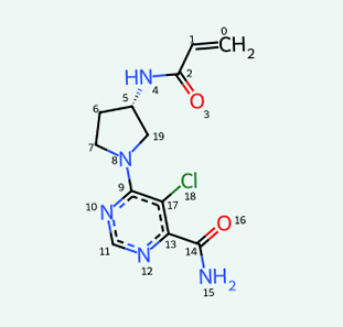 C=CC(=O)N[C@H]1CCN(c2ncnc(C(N)=O)c2Cl)C1